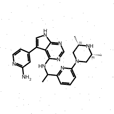 CC(Nc1ncnc2[nH]cc(-c3ccnc(N)c3)c12)c1cccc(N2C[C@@H](C)N[C@@H](C)C2)n1